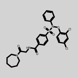 O=C(NCC(=O)N1CCCCCC1)c1ccc(S(=O)(=O)N(Oc2ccc(Cl)cc2Cl)c2ccccc2)cc1